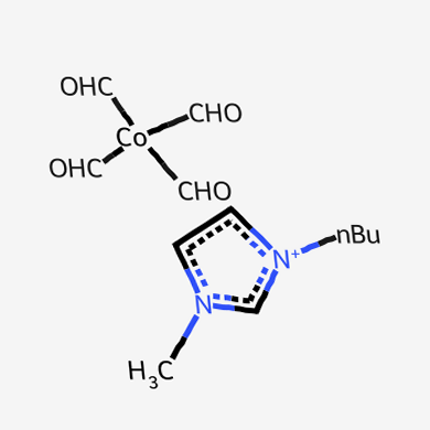 CCCC[n+]1ccn(C)c1.O=[CH][Co]([CH]=O)([CH]=O)[CH]=O